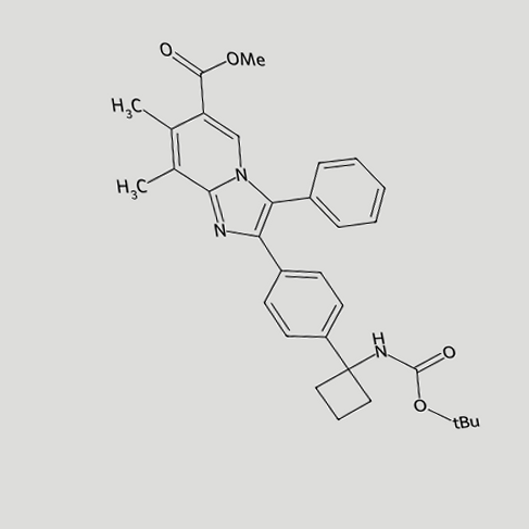 COC(=O)c1cn2c(-c3ccccc3)c(-c3ccc(C4(NC(=O)OC(C)(C)C)CCC4)cc3)nc2c(C)c1C